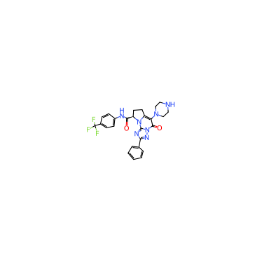 O=C(Nc1ccc(C(F)(F)F)cc1)[C@H]1CCc2c(N3CCNCC3)c(=O)n3nc(-c4ccccc4)nc3n21